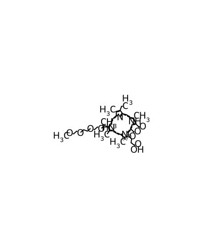 CCC1=C(C)c2cc3[nH]c(cc4nc(c5c6[nH]c(cc1n2)c(C)c6C(=O)OC5=O)[C@@H](CCC(=O)O)[C@@H]4C)c(C)c3C(C)OCCOCCOCCOC